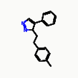 Cc1ccc(CCC2N=NC=C2c2ccccc2)cc1